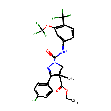 CCOC(=O)C1(C)CN(C(=O)Nc2ccc(C(F)(F)F)c(OC(F)(F)F)c2)N=C1c1ccc(Cl)cc1